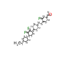 C=Cc1ccc(-c2ccc(C3CCC(CCC4=CCC(C5CO5)C=C4F)CC3)c(F)c2F)cc1